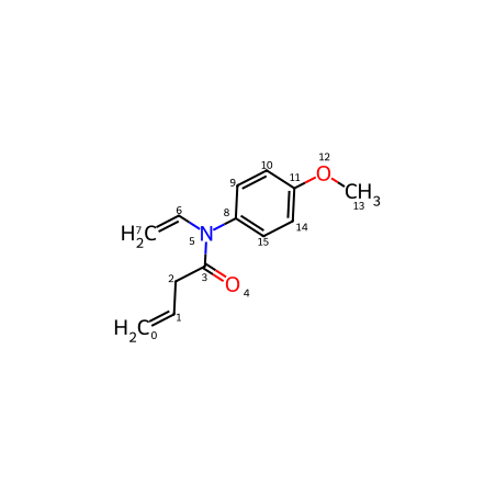 C=CCC(=O)N(C=C)c1ccc(OC)cc1